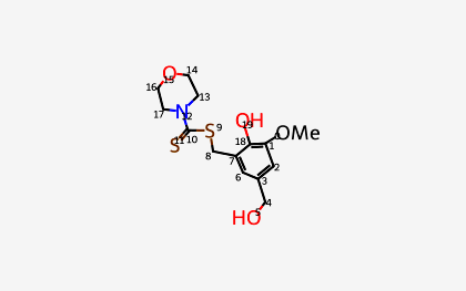 COc1cc(CO)cc(CSC(=S)N2CCOCC2)c1O